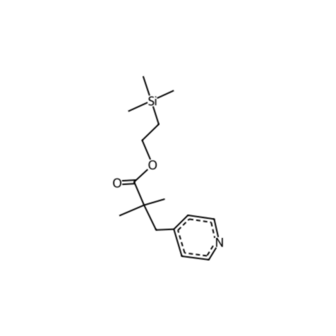 CC(C)(Cc1ccncc1)C(=O)OCC[Si](C)(C)C